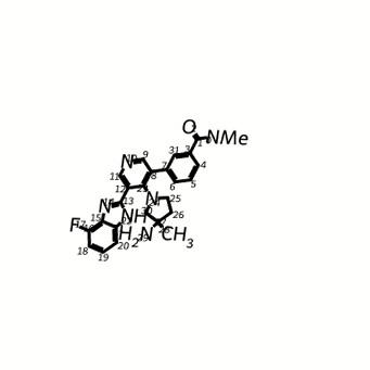 CNC(=O)c1cccc(-c2cncc(-c3nc4c(F)cccc4[nH]3)c2N2CCC(C)(N)C2)c1